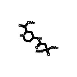 COC(=O)C1CC(NC(=O)CP(=O)(OC)OC)CCN1